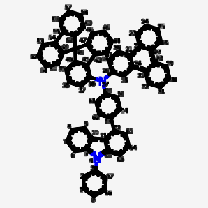 c1ccc(-n2c3ccccc3c3c(-c4ccc(N(c5ccc6c7ccccc7c7ccccc7c6c5)c5cccc6c5-c5ccccc5C65c6ccccc6-c6ccccc65)cc4)cccc32)cc1